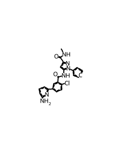 CNC(=O)c1cc(NC(=O)c2cc(-c3cccc(N)n3)ccc2Cl)n(-c2ccccc2)n1